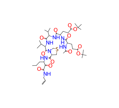 C=CCNC(=O)C(=O)C(CCC)NC(=O)[C@@H]1CSCN1C(=O)C(NC(=O)C(NC(=O)C(CCC(=O)OC(C)(C)C)NC(=O)C(CCC(=O)OC(C)(C)C)NC(C)=O)C(C)C)C(C)C